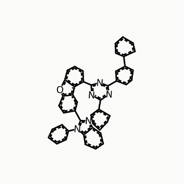 c1ccc(-c2cccc(-c3nc(-c4ccccc4)nc(-c4cccc5oc6ccc(-c7nc8ccccc8n7-c7ccccc7)cc6c45)n3)c2)cc1